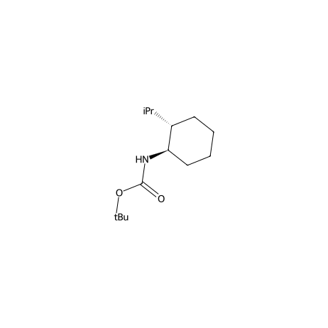 CC(C)[C@@H]1CCCC[C@H]1NC(=O)OC(C)(C)C